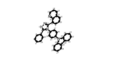 c1ccc(-c2nnc(-c3cccc4cccnc34)n2-c2ccc(-n3c4ccccc4c4ccccc43)cc2)cc1